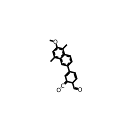 COc1cc(C)c2cc(C3=CC(=C=O)C(C=O)C=C3)ccc2c1C